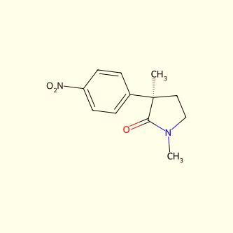 CN1CC[C@](C)(c2ccc([N+](=O)[O-])cc2)C1=O